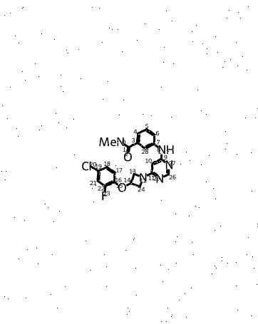 CNC(=O)c1cccc(Nc2cc(N3CC(Oc4ccc(Cl)cc4F)C3)ncn2)c1